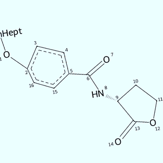 CCCCCCCOc1ccc(C(=O)N[C@@H]2CCOC2=O)cc1